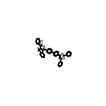 CC1(C)c2ccccc2-c2c(-c3ccc(-c4ccc(-c5cc(-c6ccccc6)nc(-c6ccccc6)n5)cc4)cc3)nc3oc4ccccc4c3c21